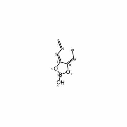 C=C/C=C1/OB(O)O/C1=C/C